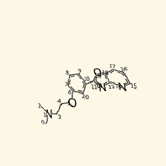 CN(C)CCOc1cccc(-c2nc3ncccc3o2)c1